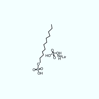 CCCCCCCCCCCCOS(=O)(=O)O.O=S(=O)(O)O.[La].[NaH]